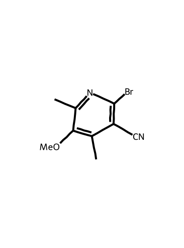 COc1c(C)nc(Br)c(C#N)c1C